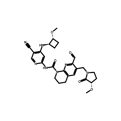 CO[C@H]1CCN(Cc2cc3c(nc2C=O)N(C(=O)Nc2cc(N[C@@H]4CC[C@H]4OC)c(C#N)cn2)CCC3)C1=O